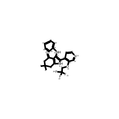 CC1(C)CC(=O)c2c([nH]c(-c3ccncc3OCC(F)(F)F)c2Nc2ccccc2)C1